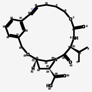 CC(C)[C@@H]1NC(=O)OCCC/C=C/c2cccc(c2)CO[C@@H]2C[C@@H](C(=O)O)N(C2)C1=O